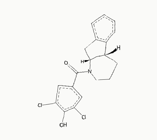 O=C(c1cc(Cl)c(O)c(Cl)c1)N1CCC[C@H]2c3ccccc3C[C@H]21